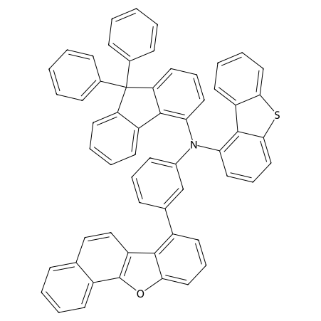 c1ccc(C2(c3ccccc3)c3ccccc3-c3c(N(c4cccc(-c5cccc6oc7c8ccccc8ccc7c56)c4)c4cccc5sc6ccccc6c45)cccc32)cc1